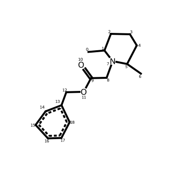 CC1CCCC(C)N1CC(=O)OCc1ccccc1